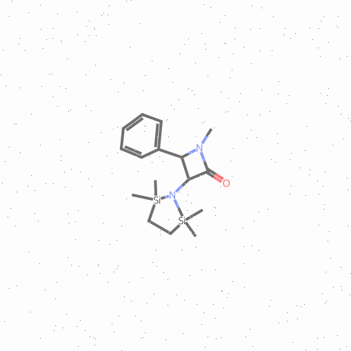 CN1C(=O)C(N2[Si](C)(C)CC[Si]2(C)C)C1c1ccccc1